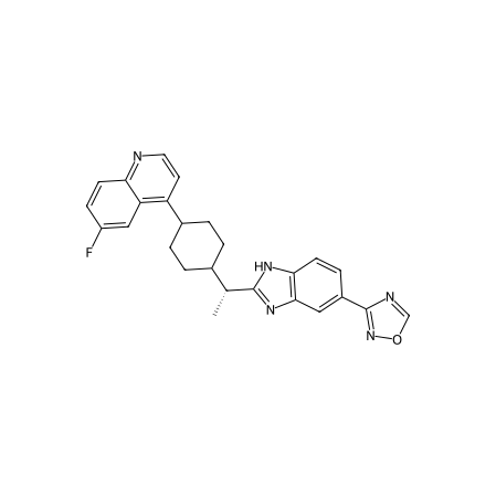 C[C@@H](c1nc2cc(-c3ncon3)ccc2[nH]1)C1CCC(c2ccnc3ccc(F)cc23)CC1